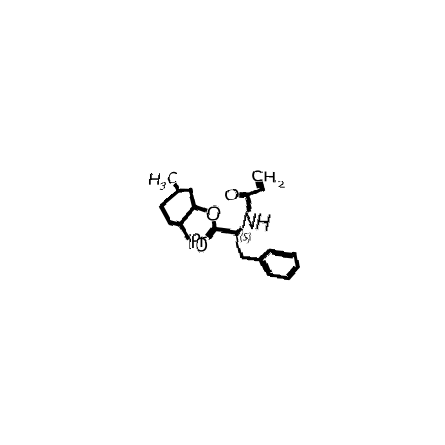 C=CC(=O)N[C@@H](Cc1ccccc1)C(=O)OC1CC(C)CCC1C(C)C